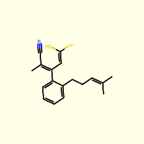 CC(C)=CCCc1ccccc1/C(C=C(S)S)=C(\C)C#N